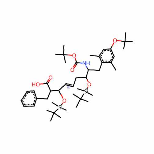 Cc1cc(OC(C)(C)C)cc(C)c1CC(NC(=O)OC(C)(C)C)C(C/C=C/C(O[Si](C)(C)C(C)(C)C)C(Cc1ccccc1)C(=O)O)O[Si](C)(C)C(C)(C)C